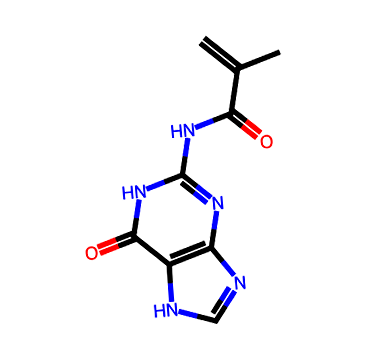 C=C(C)C(=O)Nc1nc2nc[nH]c2c(=O)[nH]1